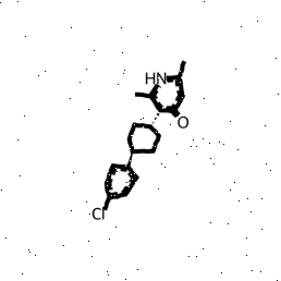 Cc1cc(=O)c([C@H]2CC[C@H](c3ccc(Cl)cc3)CC2)c(C)[nH]1